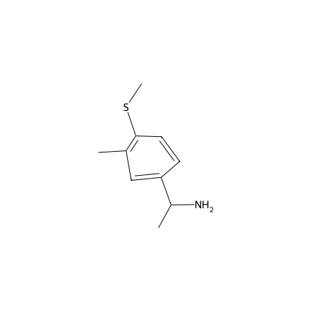 CSc1ccc(C(C)N)cc1C